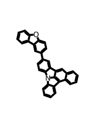 c1ccc2c(c1)cc1c3cc(-c4ccc5oc6ccccc6c5c4)ccc3n3c4ccccc4c2c13